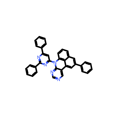 c1ccc(-c2cc3c4c(cccc4c2)N(c2cc(-c4ccccc4)nc(-c4ccccc4)n2)c2ncncc2-3)cc1